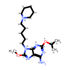 COc1nc2c(N)nc(OC(C)C)nc2n1CCCCCN1CCCCC1